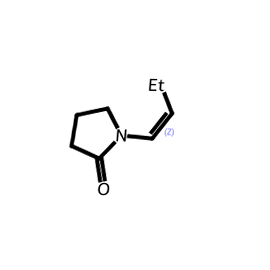 CC/C=C\N1CCCC1=O